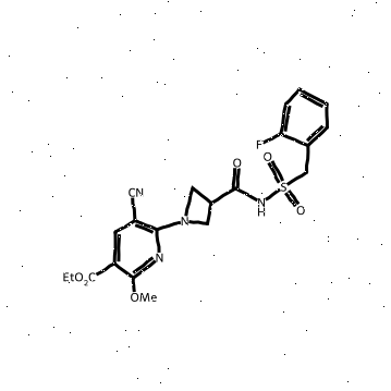 CCOC(=O)c1cc(C#N)c(N2CC(C(=O)NS(=O)(=O)Cc3ccccc3F)C2)nc1OC